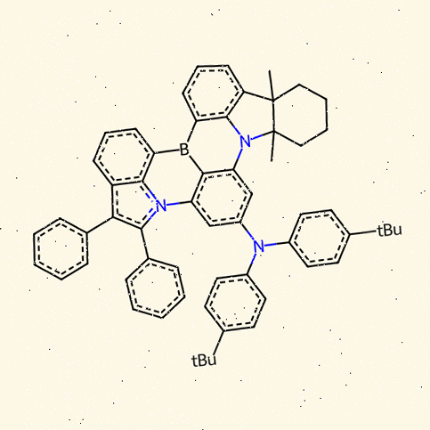 CC(C)(C)c1ccc(N(c2ccc(C(C)(C)C)cc2)c2cc3c4c(c2)-n2c(-c5ccccc5)c(-c5ccccc5)c5cccc(c52)B4c2cccc4c2N3C2(C)CCCCC42C)cc1